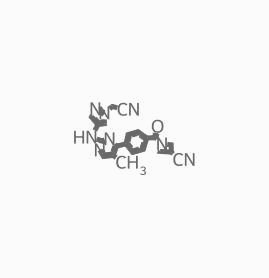 Cc1cnc(Nc2cnn(CC#N)c2)nc1-c1ccc(C(=O)N2CC(C#N)C2)cc1